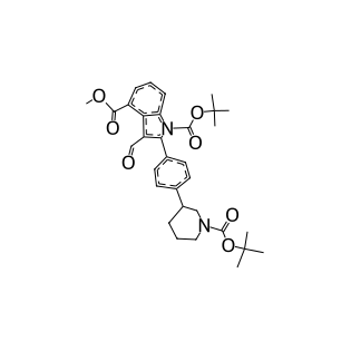 COC(=O)c1cccc2c1c(C=O)c(-c1ccc(C3CCCN(C(=O)OC(C)(C)C)C3)cc1)n2C(=O)OC(C)(C)C